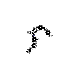 Cc1cc(/C=C/C(=O)N2CCN(Cc3ccc(CCOc4ccc(C(C)C)cc4)cc3)CC2)cc(C)c1Oc1ccc(OCc2cncs2)cn1.Cl